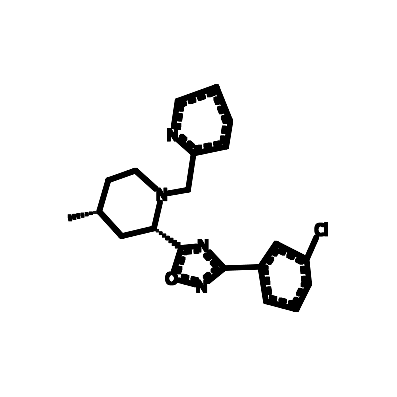 C[C@@H]1CCN(Cc2ccccn2)[C@H](c2nc(-c3cccc(Cl)c3)no2)C1